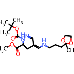 COC(=O)C(C/C(C=N)=C/NCCCC1(C)OCCO1)NC(=O)OC(C)(C)C